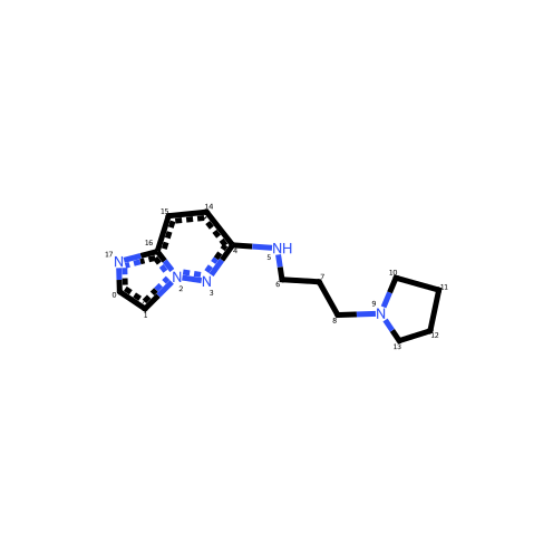 c1cn2nc(NCCCN3CCCC3)ccc2n1